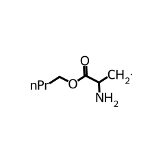 [CH2]C(N)C(=O)OCCCC